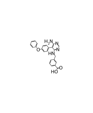 Nc1ncnc(NCc2cccc(C(=O)O)c2)c1-c1ccc(Oc2ccccc2)cc1